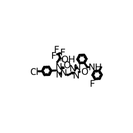 Cc1ccc(F)cc1NC(=O)c1ccccc1-n1cnc(Cn2nc(-c3ccc(Cl)cc3)n(C[C@H](O)C(F)(F)F)c2=O)n1